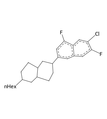 CCCCCCC1CCC2CC(c3cc(F)c4cc(Cl)c(F)cc4c3)CCC2C1